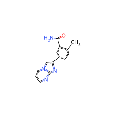 Cc1ccc(-c2cn3cccnc3n2)cc1C(N)=O